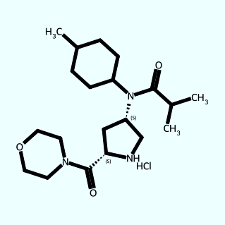 CC1CCC(N(C(=O)C(C)C)[C@@H]2CN[C@H](C(=O)N3CCOCC3)C2)CC1.Cl